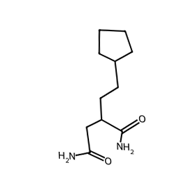 NC(=O)CC(CCC1CCCC1)C(N)=O